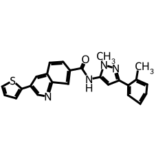 Cc1ccccc1-c1cc(NC(=O)c2ccc3cc(-c4cccs4)cnc3c2)n(C)n1